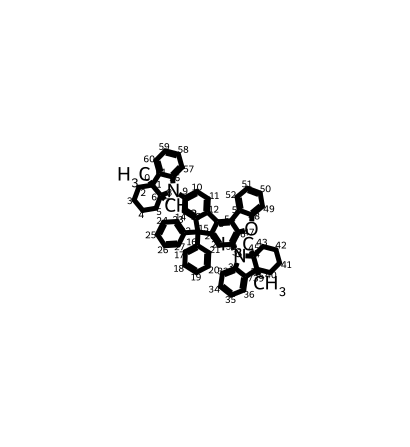 CC12CCCCC1(C)N(c1ccc3c(c1)C(c1ccccc1)(c1ccccc1)c1cc(N4c5ccccc5C5(C)CCCCC45C)c4oc5ccccc5c4c1-3)c1ccccc12